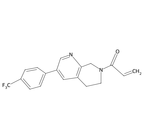 C=CC(=O)N1CCc2cc(-c3ccc(C(F)(F)F)cc3)cnc2C1